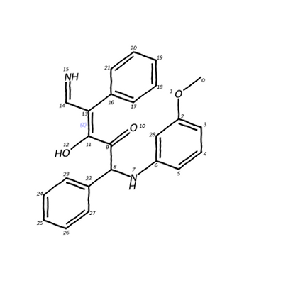 COc1cccc(NC(C(=O)/C(O)=C(/C=N)c2ccccc2)c2ccccc2)c1